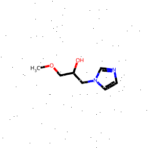 COCC(O)Cn1ccnc1